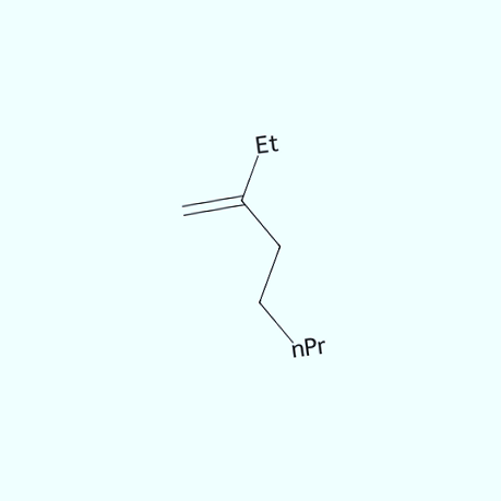 C=C(CC)CCC[CH]C